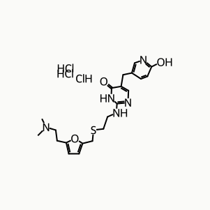 CN(C)CCc1ccc(CSCCNc2ncc(Cc3ccc(O)nc3)c(=O)[nH]2)o1.Cl.Cl.Cl